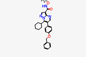 CONC(=O)c1cnn2c(C3CCCCC3)c(-c3ccc(OCc4ccccc4)cc3)cnc12